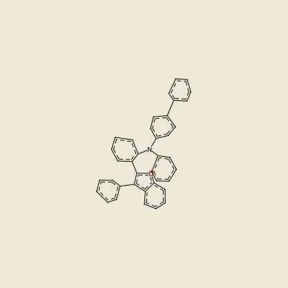 c1ccc(-c2ccc(N(c3ccccc3)c3ccccc3-c3oc4ccccc4c3-c3ccccc3)cc2)cc1